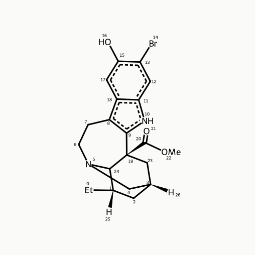 CC[C@H]1C[C@@H]2CN3CCc4c([nH]c5cc(Br)c(O)cc45)[C@](C(=O)OC)(C2)C13